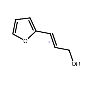 OC/C=C/c1ccco1